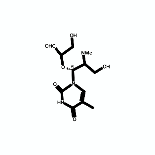 CNC(CO)[C@@H](OC(C=O)CO)n1cc(C)c(=O)[nH]c1=O